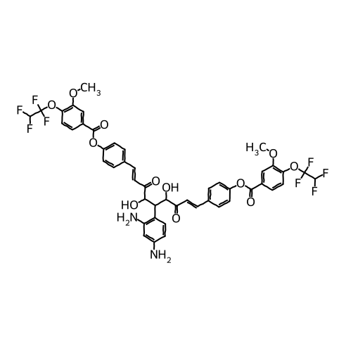 COc1cc(C(=O)Oc2ccc(/C=C/C(=O)C(O)C(c3ccc(N)cc3N)C(O)C(=O)/C=C/c3ccc(OC(=O)c4ccc(OC(F)(F)C(F)F)c(OC)c4)cc3)cc2)ccc1OC(F)(F)C(F)F